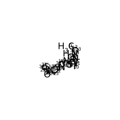 CC1CCCN(c2nc(C(F)(F)F)c(C(=O)Nc3ccc(N4CCCN(C(=O)c5cccs5)CC4)nc3)o2)C1